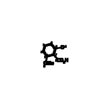 COc1cccc([O])c1C(=O)O